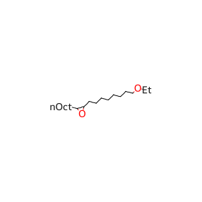 CCCCCCCCC1OC1CCCCCCCCOCC